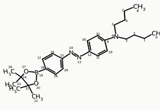 CCCCN(CCCC)c1ccc(N=Nc2ccc(B3OC(C)(C)C(C)(C)O3)cc2)cc1